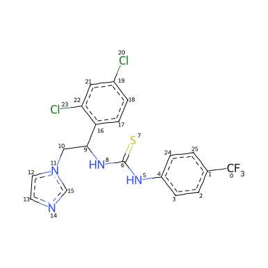 FC(F)(F)c1ccc(NC(=S)NC(Cn2ccnc2)c2ccc(Cl)cc2Cl)cc1